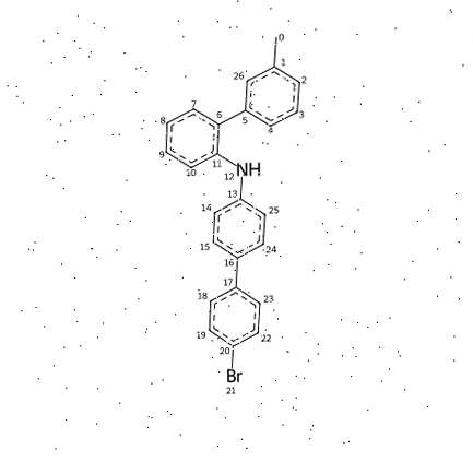 Cc1cccc(-c2ccccc2Nc2ccc(-c3ccc(Br)cc3)cc2)c1